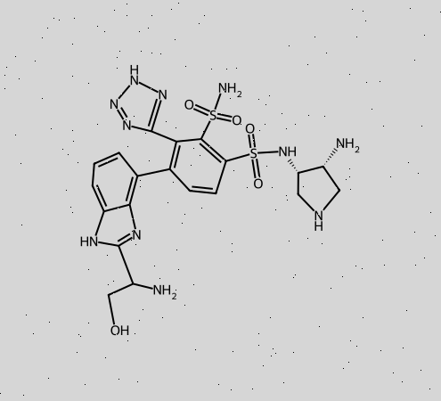 NC(CO)c1nc2c(-c3ccc(S(=O)(=O)N[C@H]4CNC[C@H]4N)c(S(N)(=O)=O)c3-c3nn[nH]n3)cccc2[nH]1